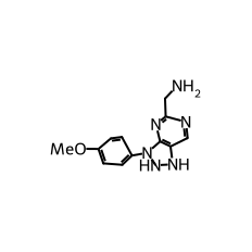 COc1ccc(N2NNc3cnc(CN)nc32)cc1